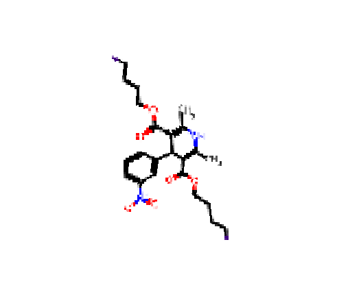 CC1=C(C(=O)OCCCCI)C(c2cccc([N+](=O)[O-])c2)C(C(=O)OCCCCI)=C(C)N1